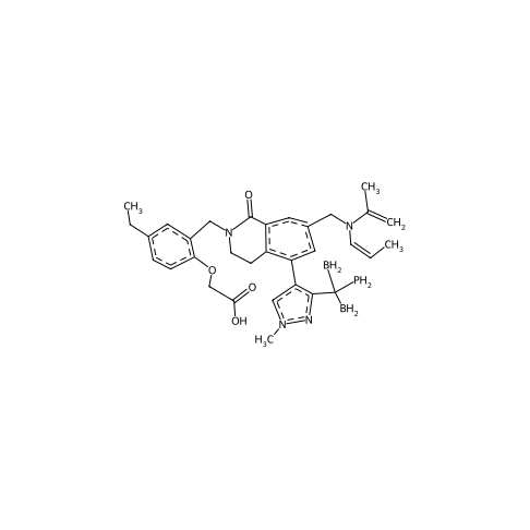 BC(B)(P)c1nn(C)cc1-c1cc(CN(/C=C\C)C(=C)C)cc2c1CCN(Cc1cc(CC)ccc1OCC(=O)O)C2=O